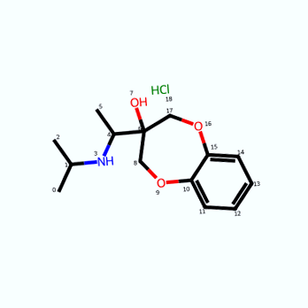 CC(C)NC(C)C1(O)COc2ccccc2OC1.Cl